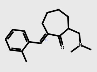 Cc1ccccc1/C=C1\CCCCC(CN(C)C)C1=O